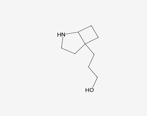 OCCCC12CCNC1CC2